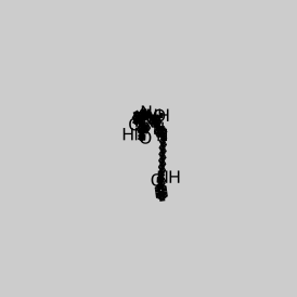 COc1cc(N2CCN(CCCCCCCCCCCCNC(=O)CC3(C)CC4CC(C)CC(C4)C3)CC2)ccc1Nc1ncc2c(C)cc(=O)n(-c3cccc(NC(C)=O)c3)c2n1